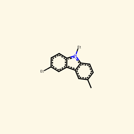 CCc1ccc2c(c1)c1cc(C)ccc1n2CC